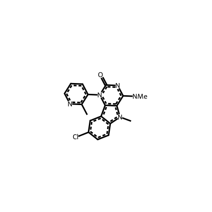 CNc1nc(=O)n(-c2cccnc2C)c2c3cc(Cl)ccc3n(C)c12